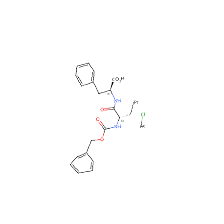 CC(=O)Cl.CC(C)C[C@H](NC(=O)OCc1ccccc1)C(=O)N[C@@H](Cc1ccccc1)C(=O)O